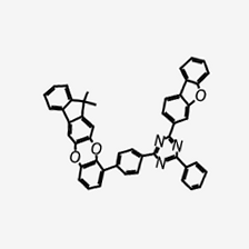 CC1(C)c2ccccc2-c2cc3c(cc21)Oc1c(cccc1-c1ccc(-c2nc(-c4ccccc4)nc(-c4ccc5c(c4)oc4ccccc45)n2)cc1)O3